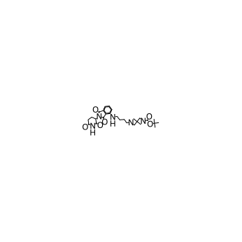 CC(C)(C)OC(=O)N1CC2(CN(CCCCNc3cccc4c3C(=O)N(C3CCC(=O)NC3=O)C4=O)C2)C1